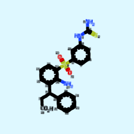 NC(=S)Nc1cccc(S(=O)(=O)c2cccc(C(CC(=O)O)c3ccccc3)c2N)c1